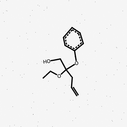 C=CCC(CO)(OCC)Oc1ccccc1